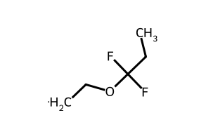 [CH2]COC(F)(F)CC